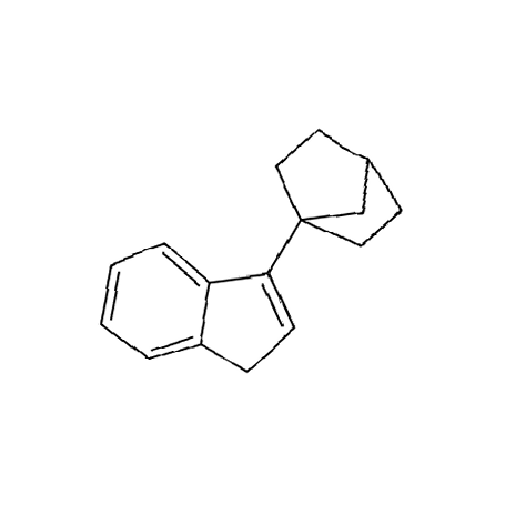 C1=C(C23CCC(CC2)C3)c2ccccc2C1